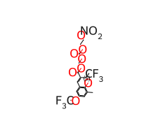 Cc1cc(OC(F)(F)F)cc2c1O[C@H](C(F)(F)F)C(C(=O)OCOC(=O)OCCO[N+](=O)[O-])=C2